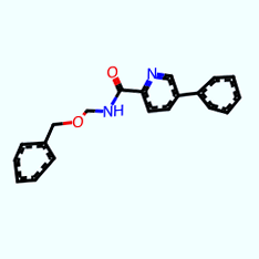 O=C(NCOCc1ccccc1)c1ccc(-c2ccccc2)cn1